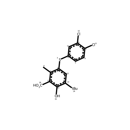 Cc1c(Sc2ccc(Cl)c(Cl)c2)cc(C(C)(C)C)c(O)c1C(=O)O